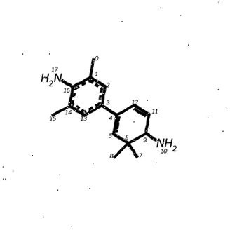 Cc1cc(C2=CC(C)(C)C(N)C=C2)cc(C)c1N